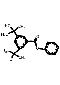 CC(C)(O)c1cc(C(=O)Oc2ccccc2)cc(C(C)(C)O)c1